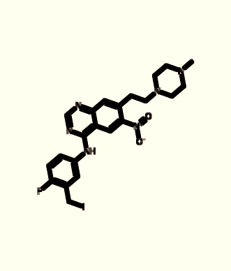 CN1CCN(CCc2cc3ncnc(Nc4ccc(F)c(CI)c4)c3cc2[N+](=O)[O-])CC1